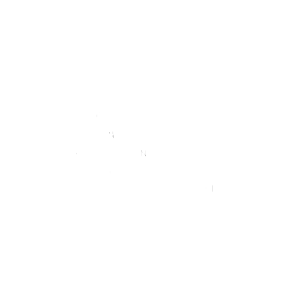 Cc1cc(N=CN(C)C(=O)Cl)ccc1Cl